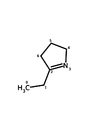 CCC1=NCCC1